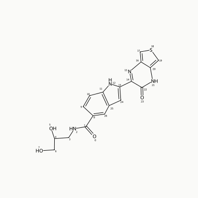 O=C(NCC(O)CO)c1ccc2[nH]c(-c3nc4cscc4[nH]c3=O)cc2c1